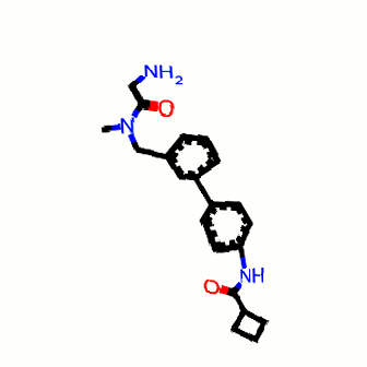 CN(Cc1cccc(-c2ccc(NC(=O)C3CCC3)cc2)c1)C(=O)CN